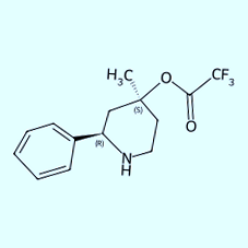 C[C@]1(OC(=O)C(F)(F)F)CCN[C@@H](c2ccccc2)C1